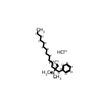 C=CC(CCCCCCCCCCCC)(Cc1ccccc1)N(C)C.Cl